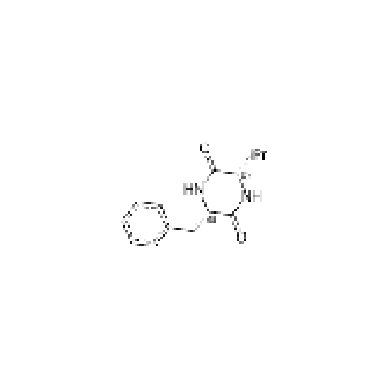 CC(C)[C@@H]1NC(=O)[C@H](Cc2ccccc2)NC1=O